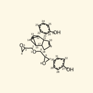 C(OCC1CO1)C1CO1.C1=CC2C3C=CC(C3)C2C1.Oc1ccccc1.Oc1ccccc1